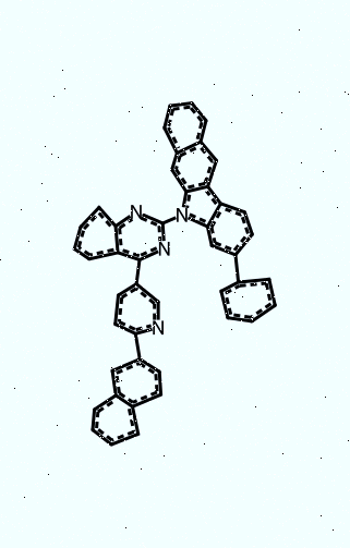 c1ccc(-c2ccc3c4cc5ccccc5cc4n(-c4nc(-c5ccc(-c6ccc7ccccc7c6)nc5)c5ccccc5n4)c3c2)cc1